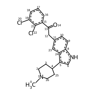 CN1CCC(c2c[nH]c3ccc(CC(=O)c4cccc(Cl)c4Cl)cc23)CC1